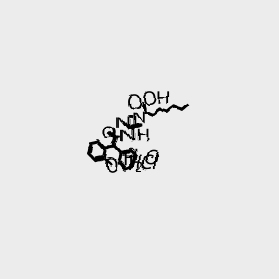 CCCCCCC(C(=O)O)n1cnc(NC(=O)C2c3ccccc3Oc3ccccc32)c1.Cl.O